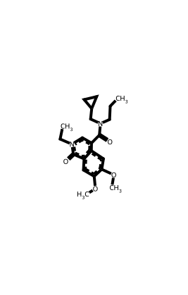 CCCN(CC1CC1)C(=O)c1cn(CC)c(=O)c2cc(OC)c(OC)cc12